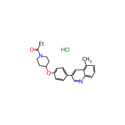 CCC(=O)N1CCC(Oc2ccc(-c3cnc4cccc(C)c4c3)cc2)CC1.Cl